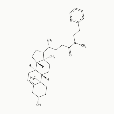 C[C@H](CCC(=O)N(C)CCc1ccccn1)[C@H]1CC[C@H]2[C@@H]3CC=C4C[C@@H](O)CC[C@]4(C)[C@H]3CC[C@]12C